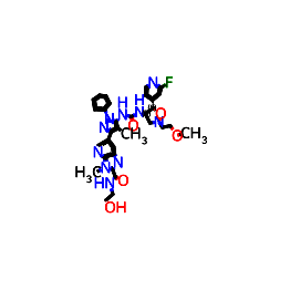 COCCN1C[C@@H](NC(=O)Nc2c(C)c(-c3cnc4c(c3)nc(C(=O)NCCO)n4C)nn2-c2ccccc2)[C@H](c2ccnc(F)c2)O1